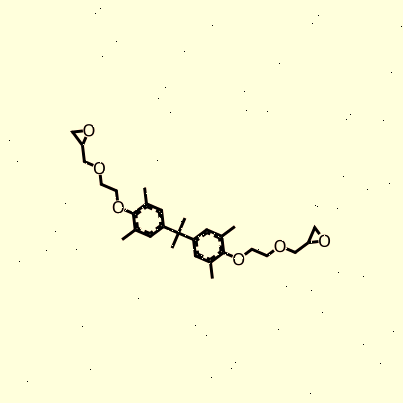 Cc1cc(C(C)(C)c2cc(C)c(OCCOCC3CO3)c(C)c2)cc(C)c1OCCOCC1CO1